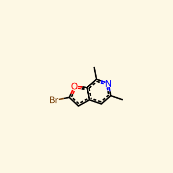 Cc1cc2cc(Br)oc2c(C)n1